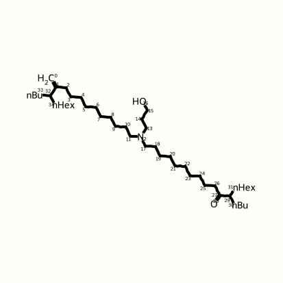 C=C(CCCCCCCCCCN(CCCO)CCCCCCCCCCC(=O)C(CCCC)CCCCCC)C(CCCC)CCCCCC